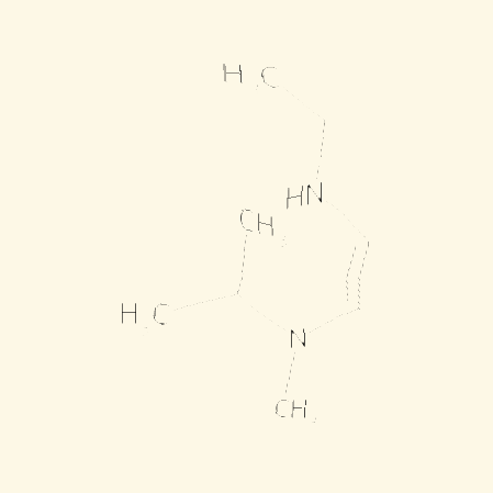 CCN/C=C\N(C)C(C)C